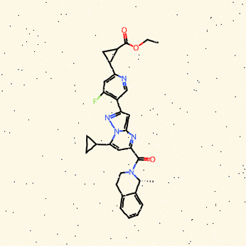 CCOC(=O)C1CC1c1cc(F)c(-c2cc3nc(C(=O)N4CCc5ccccc5[C@H]4C)cc(C4CC4)n3n2)cn1